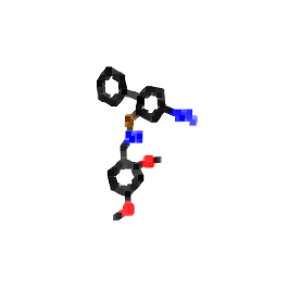 COc1ccc(CNSc2cc(N)ccc2-c2ccccc2)c(OC)c1